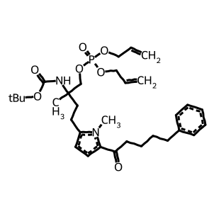 C=CCOP(=O)(OCC=C)OCC(C)(CCc1ccc(C(=O)CCCCc2ccccc2)n1C)NC(=O)OC(C)(C)C